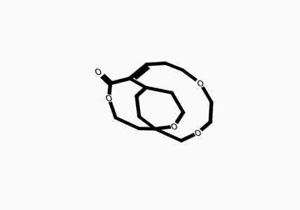 O=C1OCCC23CCC(CCO2)C1=CCCOCCOC3